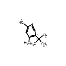 Cc1cc(O)ccc1C(C)(C)C#N